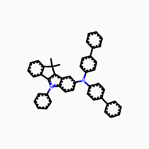 CC1(C)c2ccccc2-c2c1c1cc(N(c3ccc(-c4ccccc4)cc3)c3ccc(-c4ccccc4)cc3)ccc1n2-c1ccccc1